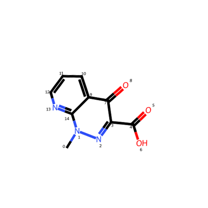 Cn1nc(C(=O)O)c(=O)c2cccnc21